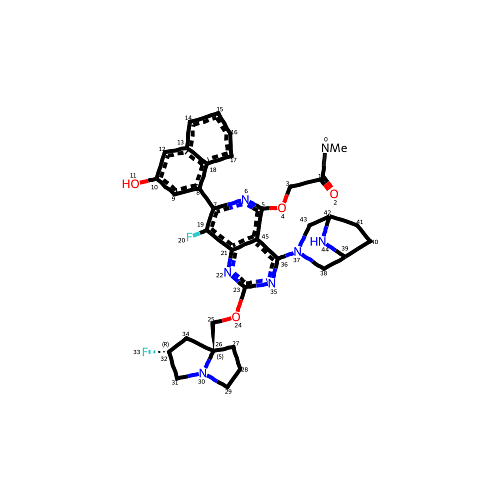 CNC(=O)COc1nc(-c2cc(O)cc3ccccc23)c(F)c2nc(OC[C@@]34CCCN3C[C@H](F)C4)nc(N3CC4CCC(C3)N4)c12